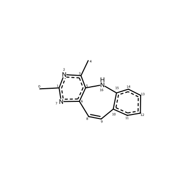 Cc1nc(C)c2c(n1)C=Cc1ccccc1N2